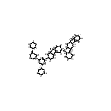 c1ccc(-c2cccc(-c3nc(-c4ccccc4)nc(-c4ccc5c(c4)oc4ccc(-n6c7ccccc7c7cc8c(cc76)oc6ccccc68)cc45)n3)c2)cc1